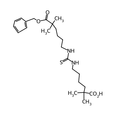 CC(C)(CCCCNC(=S)NCCCCC(C)(C)C(=O)OCc1ccccc1)C(=O)O